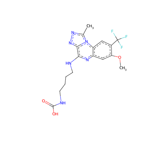 COc1cc2nc(NCCCCNC(=O)O)c3nnc(C)n3c2cc1C(F)(F)F